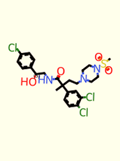 CC(CCN1CCN(S(C)(=O)=O)CC1)(C(=O)NC[C@@H](O)c1ccc(Cl)cc1)c1ccc(Cl)c(Cl)c1